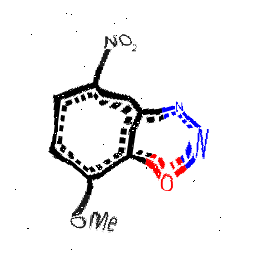 COc1ccc([N+](=O)[O-])c2nnoc12